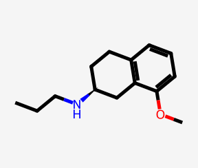 CCCN[C@H]1CCc2cccc(OC)c2C1